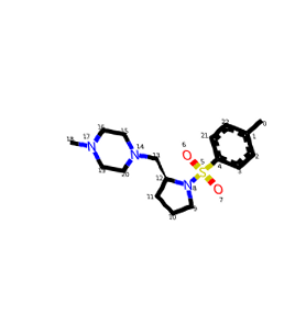 Cc1ccc(S(=O)(=O)N2CCC[C@H]2CN2CCN(C)CC2)cc1